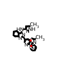 Cc1csc(CN2C3CC2CN(c2ccc(-c4nc(Nc5cc(C)[nH]n5)c5ccccc5n4)cn2)C3)n1